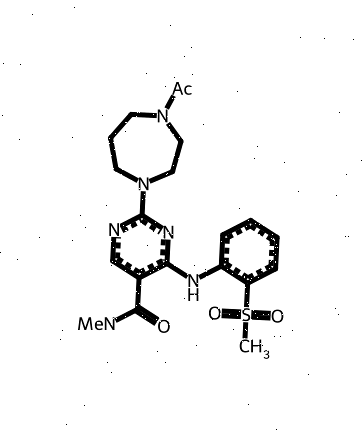 CNC(=O)c1cnc(N2CCCN(C(C)=O)CC2)nc1Nc1ccccc1S(C)(=O)=O